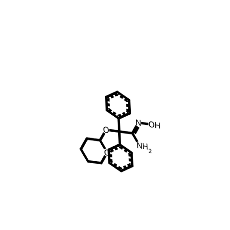 NC(=NO)C(OC1CCCCO1)(c1ccccc1)c1ccccc1